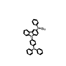 CC(C)(C)N(c1ccccc1)c1ccc2c(c1)c1ccccc1n2-c1ccc(N(c2ccccc2)c2ccccc2)cc1